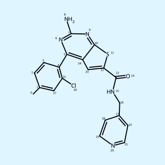 Cc1ccc(-c2nc(N)nc3sc(C(=O)NCc4ccncc4)cc23)c(Cl)c1